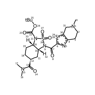 CN1CCc2nc(C(=O)N3[C@@H]4C[C@@H](C(=O)N(C)C)CC[C@@H]4N(C(=O)OC(C)(C)C)S3(=O)=O)sc2C1